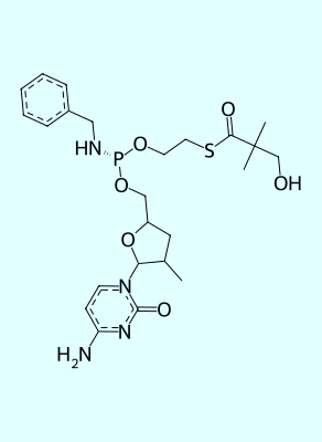 CC1CC(CO[P@](NCc2ccccc2)OCCSC(=O)C(C)(C)CO)OC1n1ccc(N)nc1=O